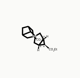 CCOC(=O)[C@H]1[C@@H]2CN(C3C4CC3CN(C(=O)OCC)C4)C[C@@H]21